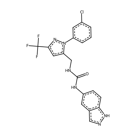 O=C(NCc1cc(C(F)(F)F)nn1-c1cccc(Cl)c1)Nc1ccc2[nH]ncc2c1